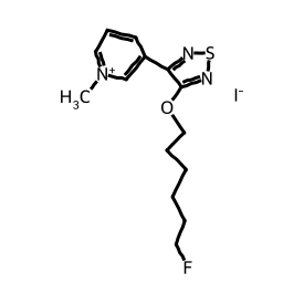 C[n+]1cccc(-c2nsnc2OCCCCCCF)c1.[I-]